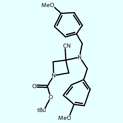 COc1ccc(CN(Cc2ccc(OC)cc2)C2(C#N)CN(C(=O)OC(C)(C)C)C2)cc1